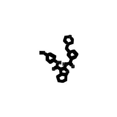 O=C(Nc1sc2c(c1C(=O)Nc1ccc(O)cc1)CCCC2)c1cccc(CN2CCOCC2)c1